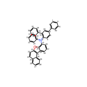 c1ccc(-c2ccc(N(c3ccccc3)c3cccc4c3oc3ccc5ccccc5c34)c(-c3ccccc3)c2)cc1